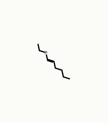 CCCCC=C[P]CC